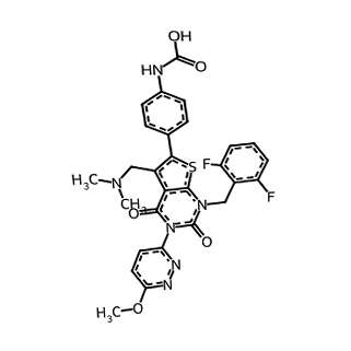 COc1ccc(-n2c(=O)c3c(CN(C)C)c(-c4ccc(NC(=O)O)cc4)sc3n(Cc3c(F)cccc3F)c2=O)nn1